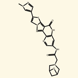 Cn1cc(-c2cn3nc4c5ncc(NC(=O)CN6CC7CC(C6)O7)cc5[nH]c(=O)c4c3s2)cn1